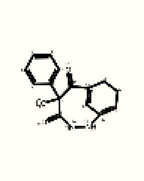 CC1(c2ccccc2)C(=O)NNC2=C[CH]CC(=C2)C1=O